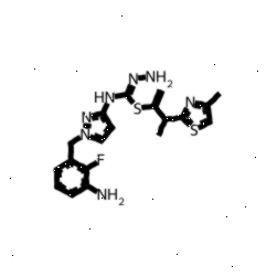 C=C(S/C(=N\N)Nc1ccn(Cc2cccc(N)c2F)n1)C(C)c1nc(C)cs1